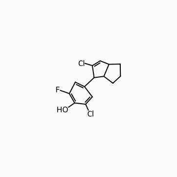 Oc1c(F)cc(C2C(Cl)=CC3CCCC32)cc1Cl